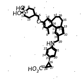 Cc1cc(OCC2CCS(O)(O)CC2)cc2c1-c1cc(CNc3ccc([C@H]4C[C@@H]4C(=O)O)cc3)ccc1CCC2